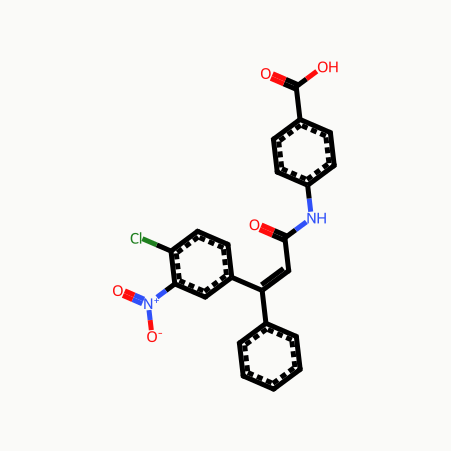 O=C(C=C(c1ccccc1)c1ccc(Cl)c([N+](=O)[O-])c1)Nc1ccc(C(=O)O)cc1